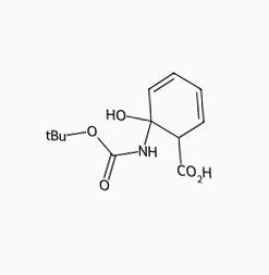 CC(C)(C)OC(=O)NC1(O)C=CC=CC1C(=O)O